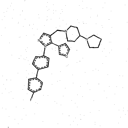 Fc1ccc(-c2ccc(-n3ncc(CN4CCC(N5CCCC5)CC4)c3-c3ccoc3)cc2)cc1